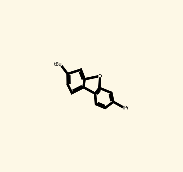 CC(C)c1ccc2c(c1)oc1cc(C(C)(C)C)ccc12